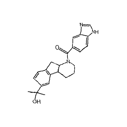 CC(C)(O)c1ccc2c(c1)C1CCCN(C(=O)c3ccc4[nH]cnc4c3)C1C2